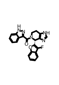 O=C(c1n[nH]c2ccccc12)N1CCc2[nH]cnc2[C@@H]1c1oc2ccccc2c1F